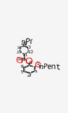 CCCCCOc1ccccc1OC(=O)C1CCC(CCC)CC1